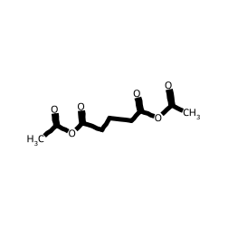 CC(=O)OC(=O)CCCC(=O)OC(C)=O